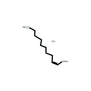 CCCCCC/C=C\CCCCCCCC(=O)O.[Co]